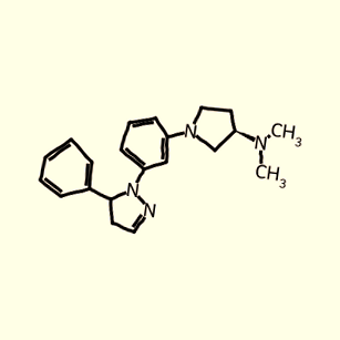 CN(C)[C@@H]1CCN(c2cccc(N3N=CCC3c3ccccc3)c2)C1